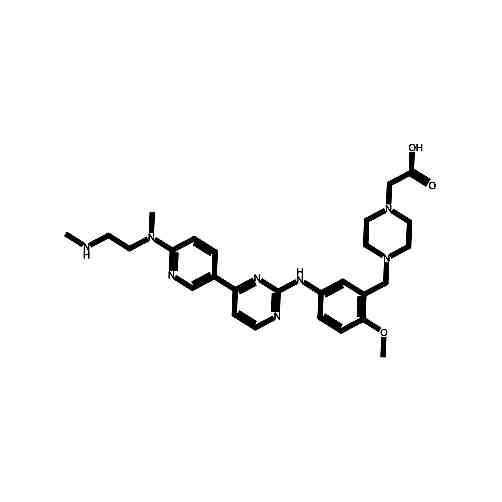 CNCCN(C)c1ccc(-c2ccnc(Nc3ccc(OC)c(CN4CCN(CC(=O)O)CC4)c3)n2)cn1